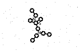 c1ccc(-c2ccc(N(c3ccc(-c4ccccc4)cc3)c3ccc(-c4cc5c6ccccc6n(-c6cccc(-c7ccccc7)c6)c5c5c4sc4ccccc45)cc3)cc2)cc1